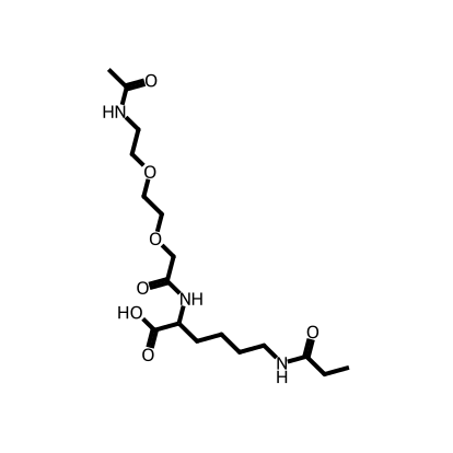 CCC(=O)NCCCCC(NC(=O)COCCOCCNC(C)=O)C(=O)O